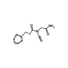 N#CN(CC(N)=O)C(=O)[CH]Cc1ccccc1